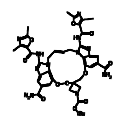 Cc1nc(C)c(C(=O)Nc2nc3cc(C(N)=O)cc4c3n2C/C=C/Cn2c(NC(=O)c3oc(C)nc3C)nc3cc(C(N)=O)cc(c32)OCC2(CO4)CN(C(=O)OC(C)(C)C)C2)o1